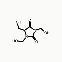 O=C1C(CO)N(CO)C(=O)N1CO